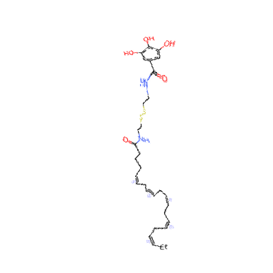 CC/C=C\C/C=C\C/C=C\C/C=C\C/C=C\CCCC(=O)NCCSSCCNC(=O)c1cc(O)c(O)c(O)c1